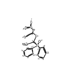 CC(C)(C)C(OC(=O)N=S(=O)=O)P(=O)(c1ccccc1)c1ccccc1